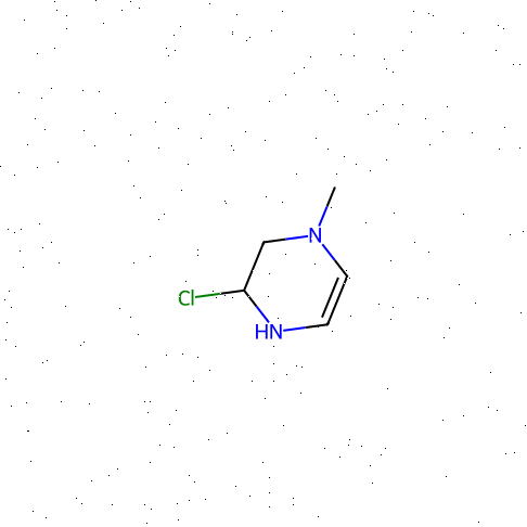 CN1C=CNC(Cl)C1